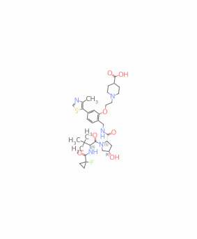 Cc1ncsc1-c1ccc(CNC(=O)[C@@H]2C[C@@H](O)CN2C(=O)[C@@H](NC(=O)C2(F)CC2)C(C)(C)C)c(OCCN2CCC(C(=O)O)CC2)c1